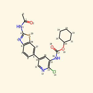 CC(=O)Nc1nc2ccc(-c3cnc(Cl)c(NC(=O)OC4CCCCC4)c3)cc2s1